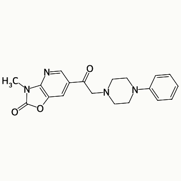 Cn1c(=O)oc2cc(C(=O)CN3CCN(c4ccccc4)CC3)cnc21